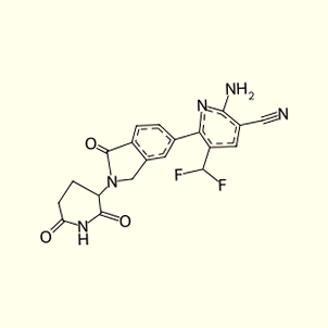 N#Cc1cc(C(F)F)c(-c2ccc3c(c2)CN(C2CCC(=O)NC2=O)C3=O)nc1N